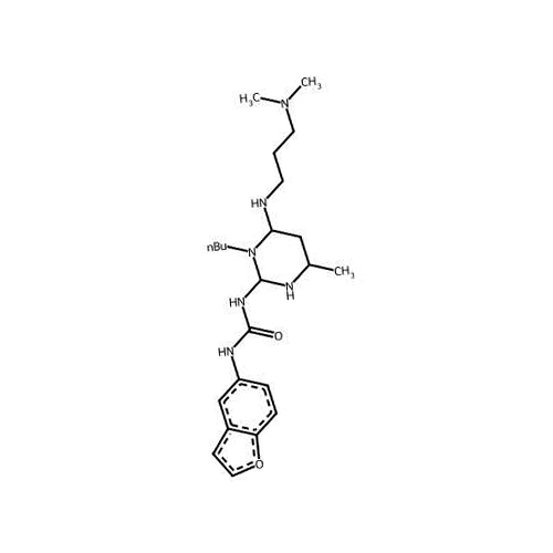 CCCCN1C(NCCCN(C)C)CC(C)NC1NC(=O)Nc1ccc2occc2c1